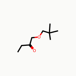 CCC(=O)COCC(C)(C)C